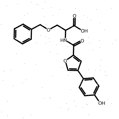 O=C(NC(COCc1ccccc1)C(=O)O)c1cc(-c2ccc(O)cc2)co1